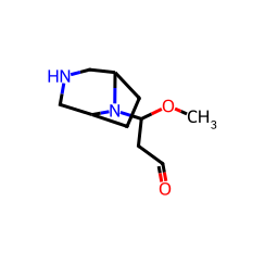 COC(CC=O)N1C2CCC1CNC2